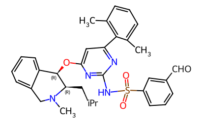 Cc1cccc(C)c1-c1cc(O[C@@H]2c3ccccc3CN(C)[C@@H]2CC(C)C)nc(NS(=O)(=O)c2cccc(C=O)c2)n1